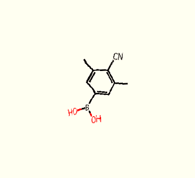 Cc1cc(B(O)O)cc(C)c1C#N